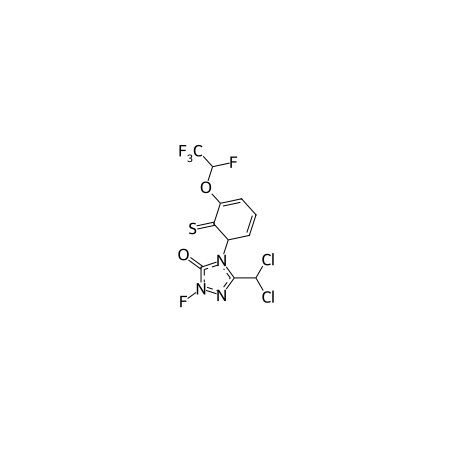 O=c1n(F)nc(C(Cl)Cl)n1C1C=CC=C(OC(F)C(F)(F)F)C1=S